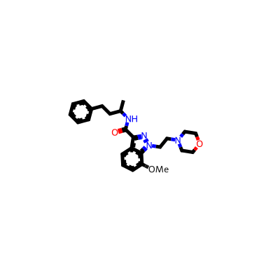 COc1cccc2c(C(=O)NC(C)CCc3ccccc3)nn(CCN3CCOCC3)c12